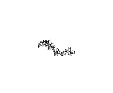 CCC(=O)NCC(=O)OCC(O)COC(=O)N(CC)CCNC(=O)c1c(C)[nH]c(/C=C2\C(=O)Nc3ccc(F)cc32)c1C